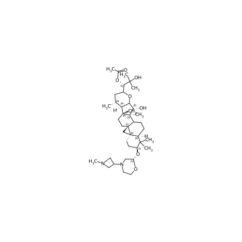 CC(=O)O[C@@H](C1C[C@@H](C)[C@H]2C(O1)[C@H](O)[C@@]1(C)C3CC[C@H]4C(C)(C)[C@@H](O[C@H]5CN(C6CN(C)C6)CCO5)CC[C@@]45C[C@@]35CC[C@]21C)C(C)(C)O